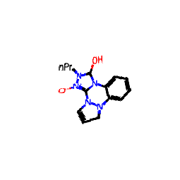 CCCN1C(O)N2C(=[N+]1[O-])N1C=CCN1c1ccccc12